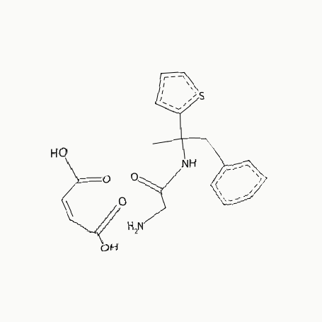 CC(Cc1ccccc1)(NC(=O)CN)c1cccs1.O=C(O)/C=C\C(=O)O